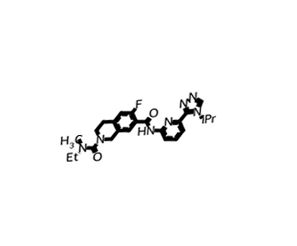 CCN(C)C(=O)N1CCc2cc(F)c(C(=O)Nc3cccc(-c4nncn4C(C)C)n3)cc2C1